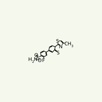 Cc1csc(C2C=CC(c3ccc(S(N)(=O)=O)c(F)c3)=CC2=S)n1